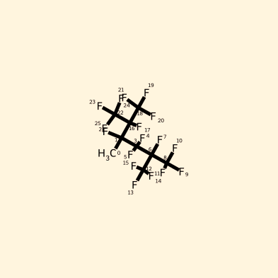 CC(F)(C(F)(F)C(F)(C(F)(F)F)C(F)(F)F)C(F)(C(F)(F)F)C(F)(F)F